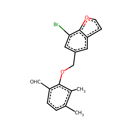 Cc1ccc(C=O)c(OCc2cc(Br)c3occc3c2)c1C